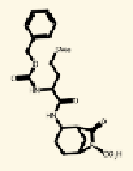 CSCCC(NC(=O)OCc1ccccc1)C(=O)NC1CCC2CC1C(=O)N2C(=O)O